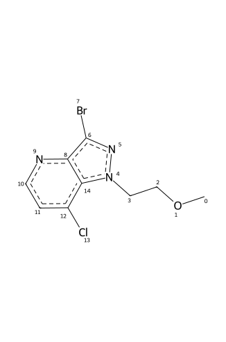 COCCn1nc(Br)c2nccc(Cl)c21